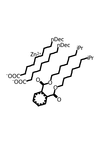 CC(C)CCCCCCOC(=O)c1ccccc1C(=O)OCCCCCCC(C)C.CCCCCCCCCCCCCCCCCC(=O)[O-].CCCCCCCCCCCCCCCCCC(=O)[O-].[Zn+2]